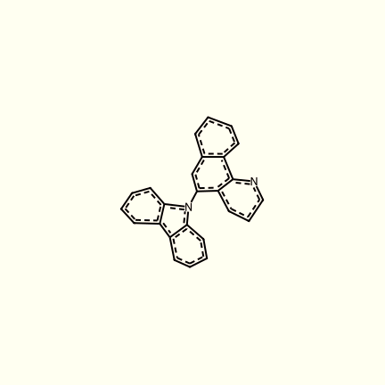 c1ccc2c(c1)cc(-n1c3ccccc3c3ccccc31)c1cccnc12